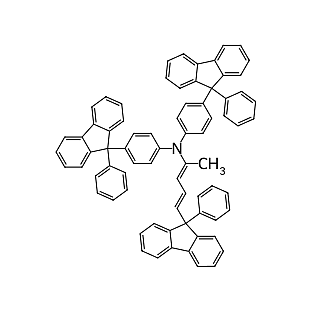 C/C(=C\C=C\C1(c2ccccc2)c2ccccc2-c2ccccc21)N(c1ccc(C2(c3ccccc3)c3ccccc3-c3ccccc32)cc1)c1ccc(C2(c3ccccc3)c3ccccc3-c3ccccc32)cc1